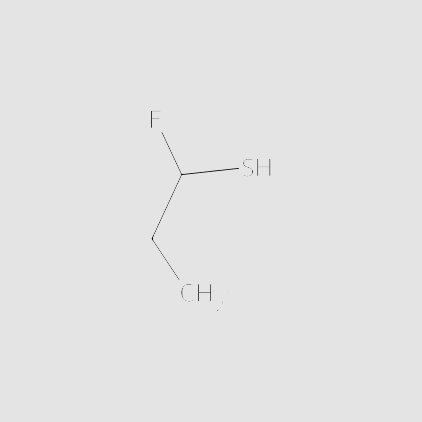 [CH2]CC(F)S